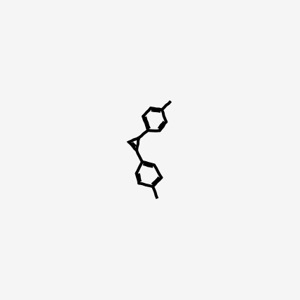 Cc1ccc(C2=CC2c2ccc(C)cc2)cc1